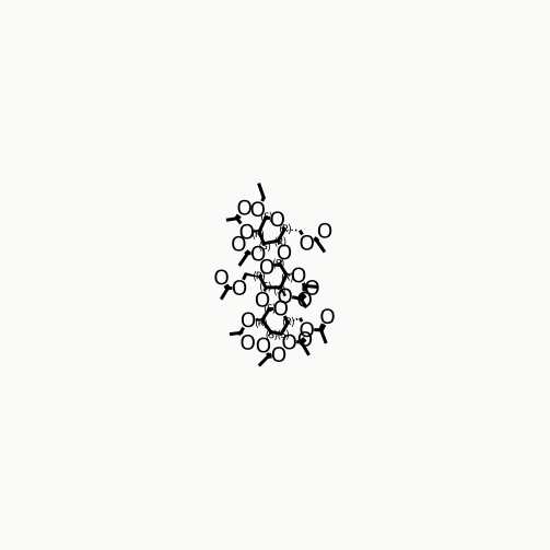 CCO[C@H]1O[C@H](COC(C)=O)[C@@H](O[C@@H]2O[C@H](COC(C)=O)[C@H](O[C@@H]3O[C@H](COC(C)=O)[C@H](OC(C)=O)[C@H](OC(C)=O)[C@H]3OC(C)=O)[C@H](OC(C)=O)[C@H]2OC(C)=O)[C@H](OC(C)=O)[C@H]1OC(C)=O